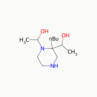 CCCCC1(C(C)O)CNCCN1C(C)O